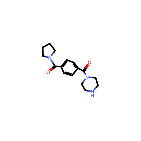 O=C(c1ccc(C(=O)N2CCNCC2)cc1)N1CCCC1